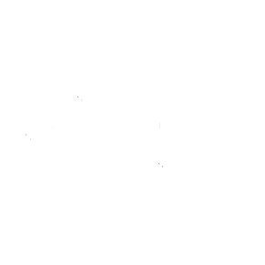 CN(CC(C)(C)N)c1ccccc1C=C1SCCN(c2ccc(Cl)c(Cl)c2)C1C=O